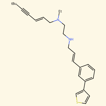 CCN(C/C=C/C#CC(C)(C)C)CCNC/C=C/c1cccc(-c2ccsc2)c1